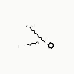 CCCCCCOC(CCCCCCC(C)C)C(=O)Oc1ccccc1